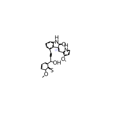 COc1cc[nH]c1/C=C1\C(=O)Nc2cccc(C#CC(O)C3=CC=CC(OC)C3=S)c21